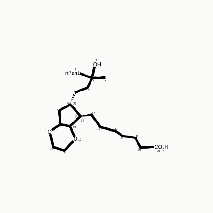 CCCCCC(C)(O)CC[C@H]1CC2OCCOC2[C@@H]1CCCCCCC(=O)O